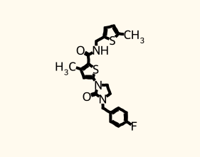 Cc1ccc(CNC(=O)c2sc(N3CCN(Cc4ccc(F)cc4)C3=O)cc2C)s1